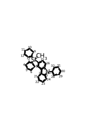 C[Si](c1ccccc1)(c1ccccc1)c1ccc2c(c1)c1ccccc1n2-c1ccccc1